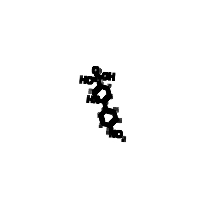 O=[N+]([O-])c1ccc(C2=CCC(P(=O)(O)O)=CN2)cc1